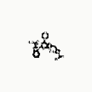 CC(C)C(=O)N1CC(Cc2nc3c(N4CCOCC4)nc(-n4c(C(C)O)nc5ccccc54)nc3n2C)C1